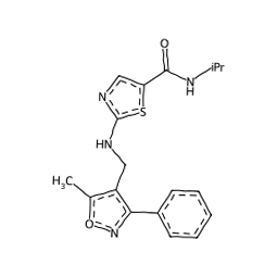 Cc1onc(-c2ccccc2)c1CNc1ncc(C(=O)NC(C)C)s1